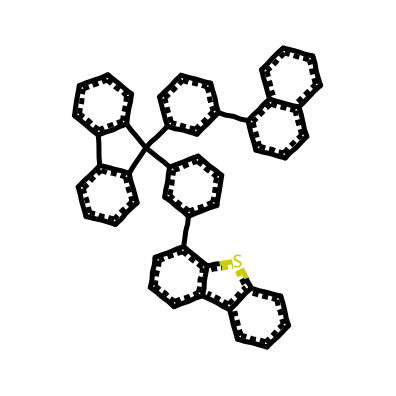 c1cc(-c2cccc3ccccc23)cc(C2(c3cccc(-c4cccc5c4sc4ccccc45)c3)c3ccccc3-c3ccccc32)c1